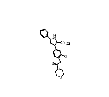 CCOC(=O)C1NC(c2ccccc2)CC1c1ccc(OC(=O)N2CCOCC2)c(Cl)c1